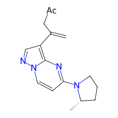 C=C(CC(C)=O)c1cnn2ccc(N3CCC[C@@H]3C)nc12